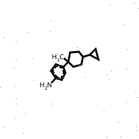 CC1(c2ccc(N)cc2)CCC(C2CC2)CC1